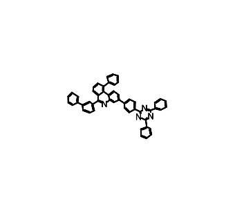 c1ccc(-c2cccc(-c3nc4cc(-c5ccc(-c6nc(-c7ccccc7)nc(-c7ccccc7)n6)cc5)ccc4c4c(-c5ccccc5)cccc34)c2)cc1